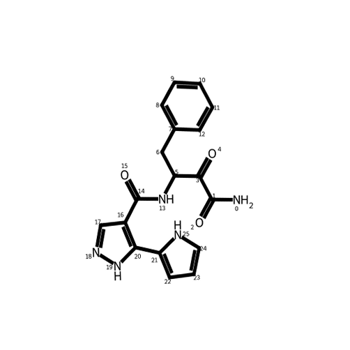 NC(=O)C(=O)C(Cc1ccccc1)NC(=O)c1cn[nH]c1-c1ccc[nH]1